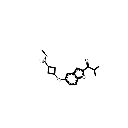 CSN[C@H]1C[C@@H](Oc2ccc3oc(C(=O)C(C)C)cc3c2)C1